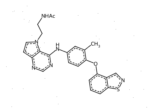 CC(=O)NCCn1ccc2ncnc(Nc3ccc(Oc4cccc5sncc45)c(C)c3)c21